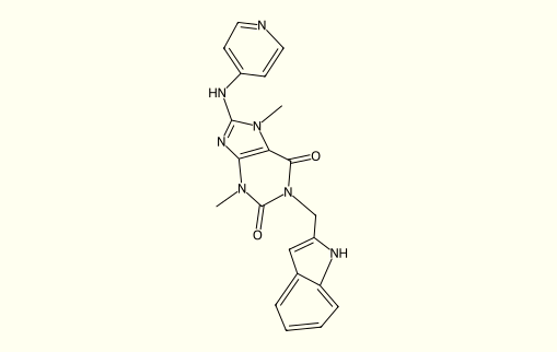 Cn1c(Nc2ccncc2)nc2c1c(=O)n(Cc1cc3ccccc3[nH]1)c(=O)n2C